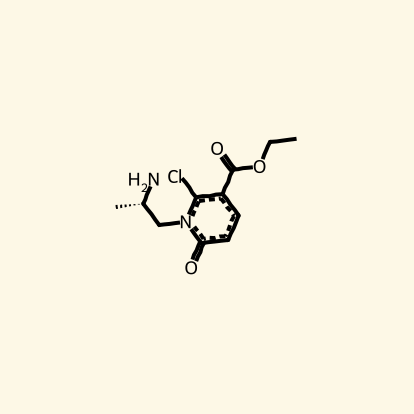 CCOC(=O)c1ccc(=O)n(C[C@H](C)N)c1Cl